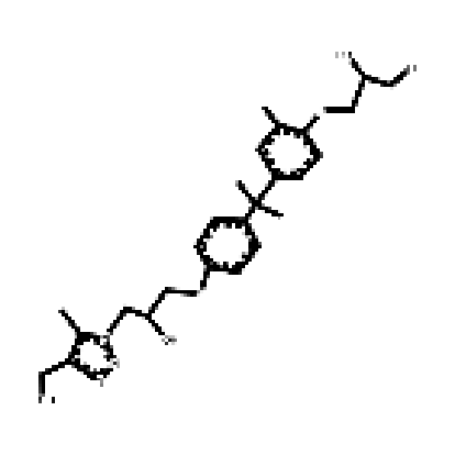 Cc1c(CO)nnn1CC(O)COc1ccc(C(C)(C)c2ccc(OCC(O)CCl)c(F)c2)cc1